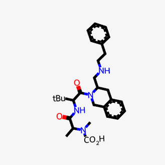 CC(C(=O)NC(C(=O)N1Cc2ccccc2CC1CNCCc1ccccc1)C(C)(C)C)N(C)C(=O)O